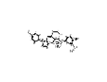 CC(C)Oc1cc([C@H](O)[C@H]2CCCC3=Cc4c(cnn4-c4ccc(F)cc4)C[C@@]32C)ccc1F